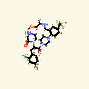 COC[C@@H](C)NCc1cc(C(F)(F)F)ccc1N1CCN(C(=O)C(Cc2ccc(Cl)cc2Cl)N2CCNCC2=O)CC1